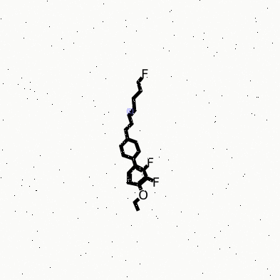 CCOc1ccc(C2CCC(CC/C=C/CCCF)CC2)c(F)c1F